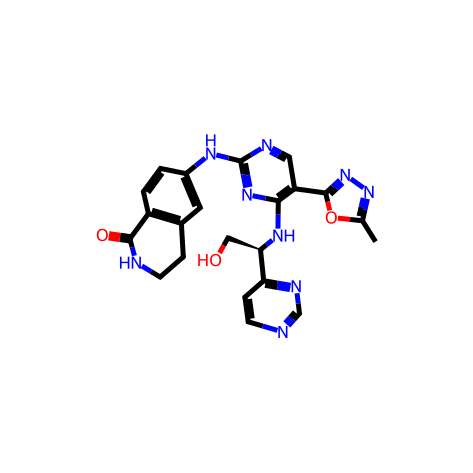 Cc1nnc(-c2cnc(Nc3ccc4c(c3)CCNC4=O)nc2N[C@H](CO)c2ccncn2)o1